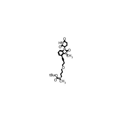 CN(CCCCOCCC#Cc1cccc2c1n(C)c(=O)n2C1CCC(=O)NC1=O)C(=O)OC(C)(C)C